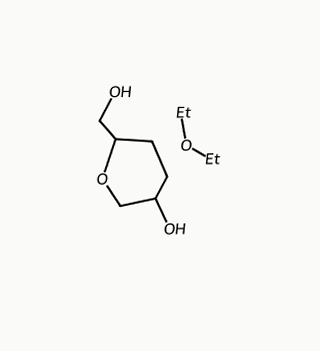 CCOCC.OCC1CCC(O)CO1